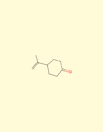 C=C(C)C1CCC(=O)CC1